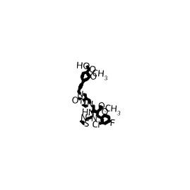 COC(=O)C1=C(CN2CCN3C(=O)N(CC#Cc4ccc(C(=O)O)c(OC)c4)CC3C2)NC(c2nccs2)=NC1c1ccc(F)cc1Cl